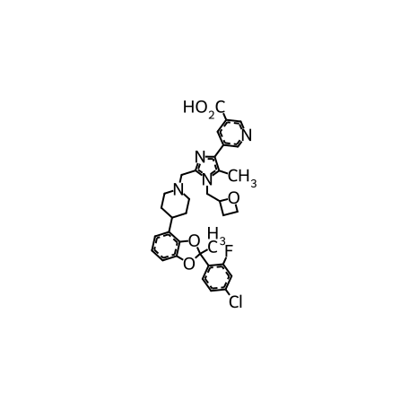 Cc1c(-c2cncc(C(=O)O)c2)nc(CN2CCC(c3cccc4c3OC(C)(c3ccc(Cl)cc3F)O4)CC2)n1CC1CCO1